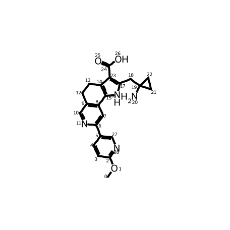 COc1ccc(-c2cc3c(cn2)CCc2c-3[nH]c(CC3(N)CC3)c2C(=O)O)cn1